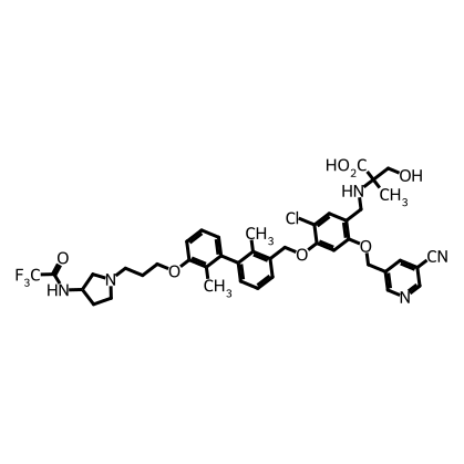 Cc1c(COc2cc(OCc3cncc(C#N)c3)c(CNC(C)(CO)C(=O)O)cc2Cl)cccc1-c1cccc(OCCCN2CCC(NC(=O)C(F)(F)F)C2)c1C